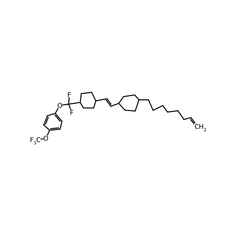 C=CCCCCCCC1CCC(/C=C/C2CCC(C(F)(F)Oc3ccc(OC(F)(F)F)cc3)CC2)CC1